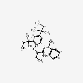 CCC(Oc1ccc(C(C)(C)CC)cc1C(C)(C)CC)C(=O)Nc1ccc[c]c1OC